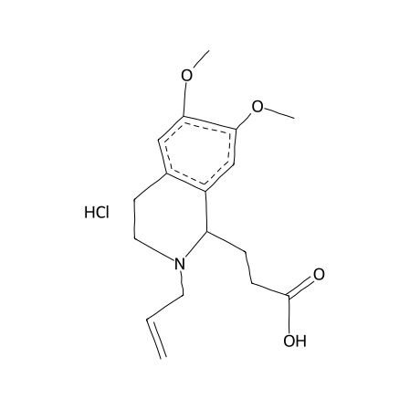 C=CCN1CCc2cc(OC)c(OC)cc2C1CCC(=O)O.Cl